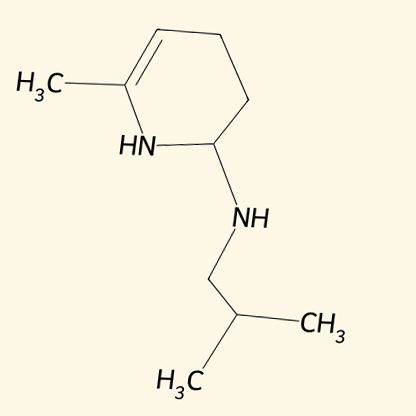 CC1=CCCC(NCC(C)C)N1